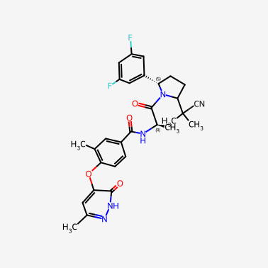 Cc1cc(Oc2ccc(C(=O)N[C@H](C)C(=O)N3C(C(C)(C)C#N)CC[C@H]3c3cc(F)cc(F)c3)cc2C)c(=O)[nH]n1